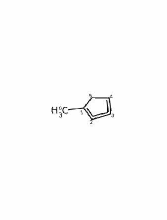 CC1=C=C=CC1